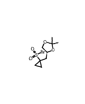 CC1(C)OC[C@H](CC2(S(=O)(=O)Br)CC2)O1